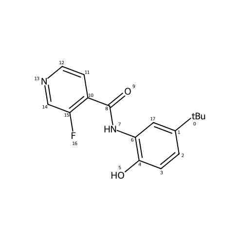 CC(C)(C)c1ccc(O)c(NC(=O)c2ccncc2F)c1